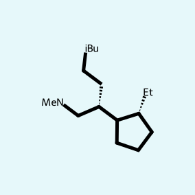 CCC(C)CC[C@@H](CNC)C1CCC[C@H]1CC